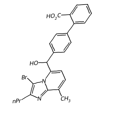 CCCc1nc2c(C)ccc(C(O)c3ccc(-c4ccccc4C(=O)O)cc3)n2c1Br